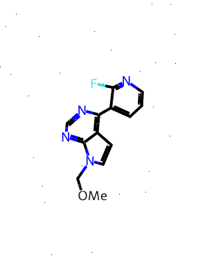 COCn1ccc2c(-c3cccnc3F)ncnc21